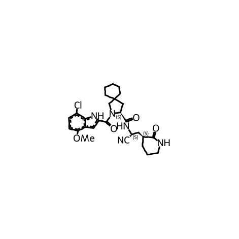 COc1ccc(Cl)c2[nH]c(C(=O)N3CC4(CCCCC4)C[C@H]3C(=O)N[C@H](C#N)C[C@@H]3CCCNC3=O)cc12